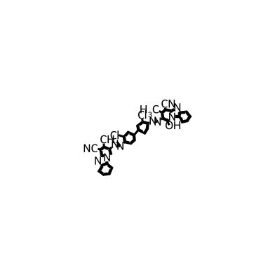 Cc1c(N=Nc2ccc(-c3ccc(N=Nc4c(C)c(C#N)c5nc6ccccc6n5c4O)c(Cl)c3)cc2Cl)cn2c(nc3ccccc32)c1C#N